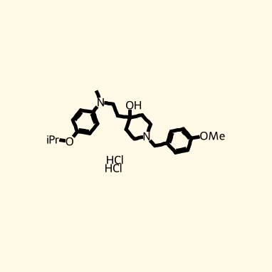 COc1ccc(CN2CCC(O)(CCN(C)c3ccc(OC(C)C)cc3)CC2)cc1.Cl.Cl